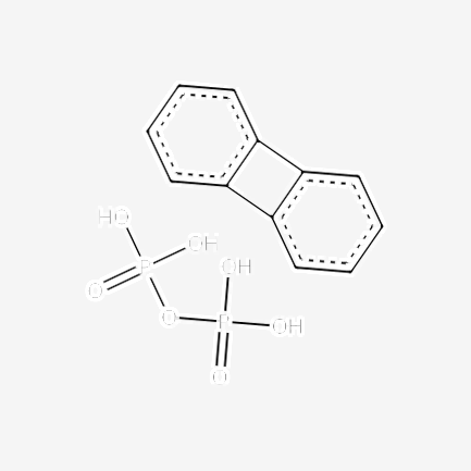 O=P(O)(O)OP(=O)(O)O.c1ccc2c(c1)-c1ccccc1-2